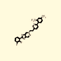 Fc1cccc(-c2nc3cnn(CCc4ccc(-c5ccc(C(F)(F)F)cc5C(F)(F)F)nn4)cc-3n2)c1F